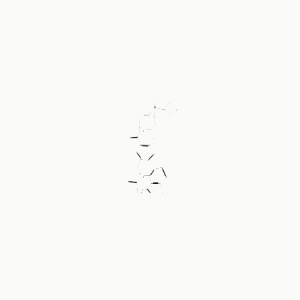 O=C(c1cc(Cn2c(=O)[nH]c(=O)c3c(Cl)cccc32)ccc1F)N1CCN(C(=O)C2CCC2)CC1